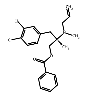 C=CCN(C)[C@](C)(COC(=O)c1ccccc1)Cc1ccc(Cl)c(Cl)c1